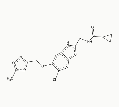 Cc1cc(COc2cc3[nH]c(CNC(=O)C4CC4)cc3cc2Cl)no1